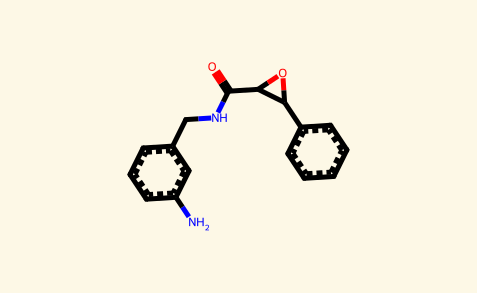 Nc1cccc(CNC(=O)C2OC2c2ccccc2)c1